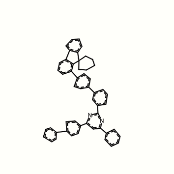 c1ccc(-c2ccc(-c3cc(-c4ccccc4)nc(-c4cccc(-c5ccc(-c6cccc7c6C6(CCCCC6)c6ccccc6-7)cc5)c4)n3)cc2)cc1